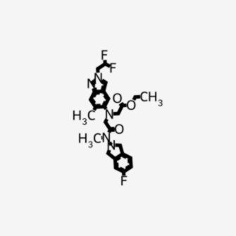 CCOC(=O)CN(CC(=O)N(C)N1Cc2ccc(F)cc2C1)c1cc2cn(CC(F)F)nc2cc1C